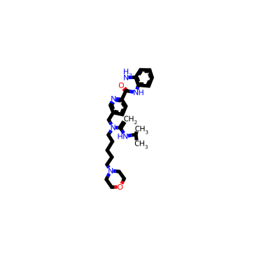 C=C(NC(C)C)N(CCCCCN1CCOCC1)Cc1ccc(C(=O)Nc2ccccc2N)nc1